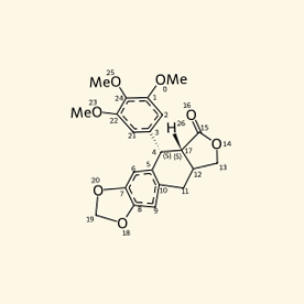 COc1cc([C@H]2c3cc4c(cc3CC3COC(=O)[C@H]32)OCO4)cc(OC)c1OC